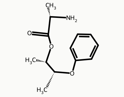 C[C@H](N)C(=O)O[C@@H](C)[C@@H](C)Oc1ccccc1